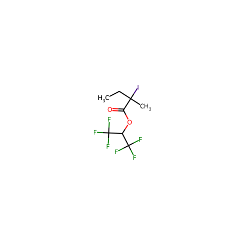 CCC(C)(I)C(=O)OC(C(F)(F)F)C(F)(F)F